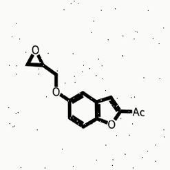 CC(=O)c1cc2cc(OCC3CO3)ccc2o1